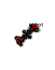 CCCCCCCC1(C)CN(c2ccccc2)c2ccc(-c3ccc4c5c(-c6ccccc6)c6c7ccc(-c8ccc9c(c8)C8(C)CCCCCC8(C)N9c8ccccc8)c8c(-c9ccc%10c(c9)C9(C)CCCCCC9(C)N%10c9ccccc9)ccc(c6c(-c6ccccc6)c5c5ccc(-c6ccc9c(c6)C6(C)CCCCCC6(C)N9c6ccccc6)c3c45)c87)cc21